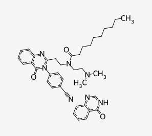 CCCCCCCCCC(=O)N(CCc1nc2ccccc2c(=O)n1-c1ccc(C#N)cc1)CCN(C)C.O=c1[nH]cnc2ccccc12